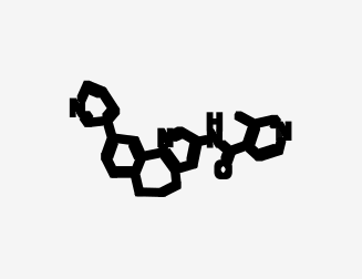 Cc1cnccc1C(=O)Nc1cnc2c(c1)CCCc1ccc(-c3cccnc3)cc1-2